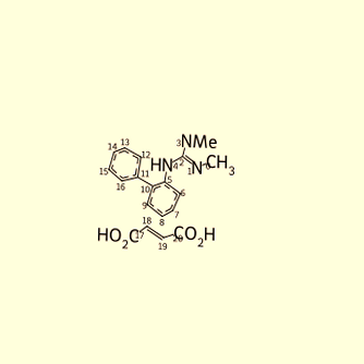 CN=C(NC)Nc1ccccc1-c1ccccc1.O=C(O)C=CC(=O)O